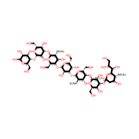 CC(=O)N[C@H]1[C@H](O[C@H]2[C@@H](O)[C@@H](CO)O[C@@H](O[C@H]3[C@H](O)[C@@H](NC(C)=O)[C@H](O[C@H]4[C@@H](O)[C@@H](CO)O[C@@H](O[C@H]5[C@H](O)[C@@H](O)C(O)O[C@@H]5CO)[C@@H]4O)O[C@@H]3CO)[C@@H]2O)O[C@H](CO)[C@@H](O[C@@H]2O[C@H](CO)[C@H](O)[C@H](O[C@]3(C(=O)O)C[C@H](O)[C@@H](NC(C)=O)[C@H]([C@H](O)[C@H](O)CO)O3)[C@H]2O)[C@@H]1O